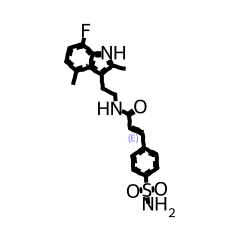 Cc1[nH]c2c(F)ccc(C)c2c1CCNC(=O)/C=C/c1ccc(S(N)(=O)=O)cc1